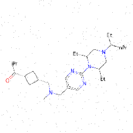 CCCC(CC)N1CC(CC)N(c2ncc(CN(C)C[C@H]3C[C@@H](C(=O)C(C)C)C3)cn2)C(CC)C1